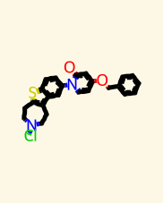 O=c1cc(OCc2ccccc2)ccn1-c1ccc2sc3c(c2c1)CCN(Cl)CC3